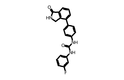 O=C(Nc1ccc(-c2cccc3c2CNC3=O)cc1)Nc1cccc(F)c1